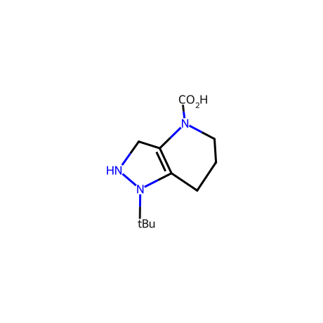 CC(C)(C)N1NCC2=C1CCCN2C(=O)O